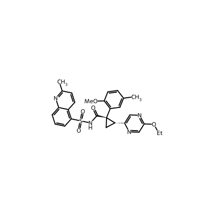 CCOc1cnc([C@@H]2C[C@]2(C(=O)NS(=O)(=O)c2cccc3nc(C)ccc23)c2cc(C)ccc2OC)cn1